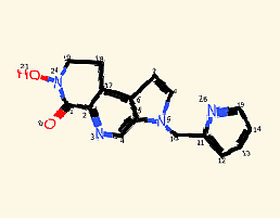 O=C1c2ncc3c(ccn3Cc3ccccn3)c2CCN1O